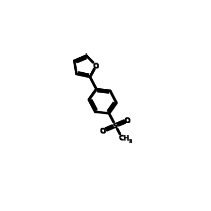 CS(=O)(=O)c1ccc(-c2cc[c]o2)cc1